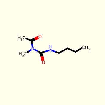 CCCCNC(=O)N(C)C(C)=O